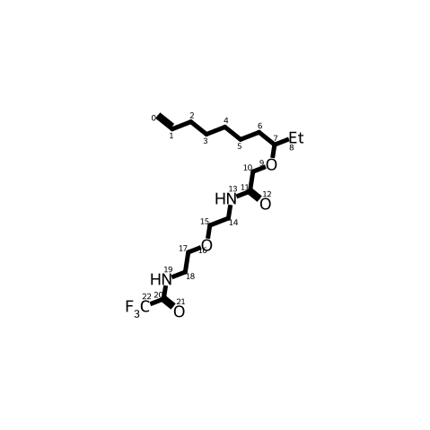 C=CCCCCCC(CC)OCC(=O)NCCOCCNC(=O)C(F)(F)F